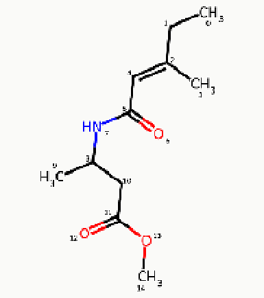 CC/C(C)=C/C(=O)NC(C)CC(=O)OC